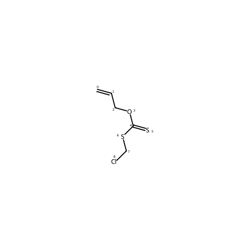 C=CCOC(=S)SCCl